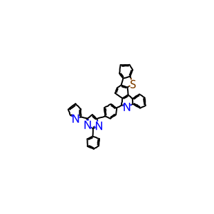 c1ccc(-c2nc(-c3ccc(-c4nc5ccccc5c5c4ccc4c6ccccc6sc45)cc3)cc(-c3ccccn3)n2)cc1